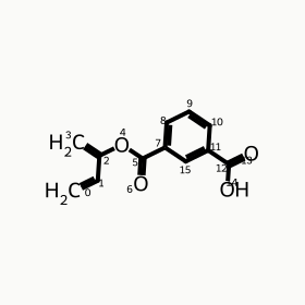 C=CC(=C)OC(=O)c1cccc(C(=O)O)c1